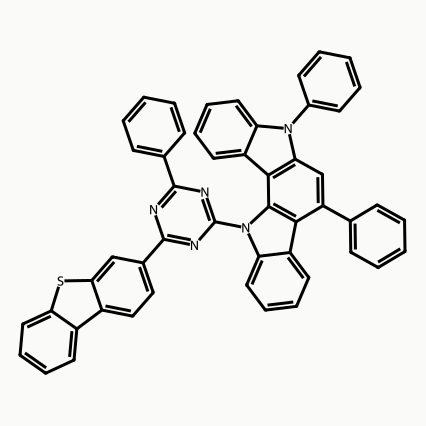 c1ccc(-c2nc(-c3ccc4c(c3)sc3ccccc34)nc(-n3c4ccccc4c4c(-c5ccccc5)cc5c(c6ccccc6n5-c5ccccc5)c43)n2)cc1